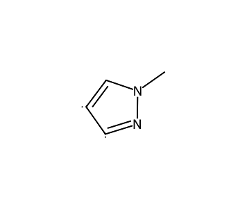 Cn1c[c][c]n1